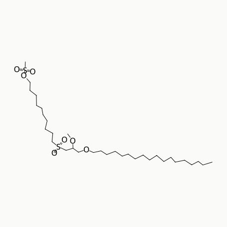 CCCCCCCCCCCCCCCCCCOCC(CS(=O)(=O)CCCCCCCCCCOS(C)(=O)=O)OC